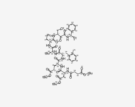 CC[C@@H](NC(=O)C(=O)C(CC(F)(F)F)NC(=O)[C@H](CC(C)C)NC(=O)[C@@H](NC(=O)[C@H](Cc1ccccc1C)NC(=O)[C@H](CCC(=O)OC(C)(C)C)NC(=O)[C@H](CC(=O)OC(C)(C)C)NC(=O)CCC(=O)OC(C)(C)C)C(C)(C)C)c1ccccc1